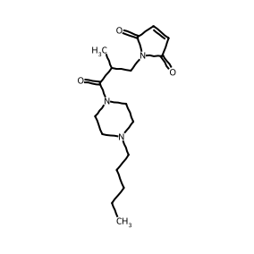 CCCCCN1CCN(C(=O)C(C)CN2C(=O)C=CC2=O)CC1